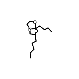 CCCCCC1CN2CCOC2(CCCC)O1